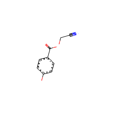 N#CCOC(=O)c1ccc(O)cc1